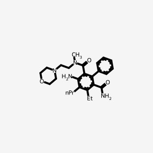 CCCc1c(N)c(C(=O)N(C)CCN2CCOCC2)c(-c2ccccc2)c(C(N)=O)c1CC